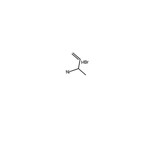 Br.C=C[CH](C)[Ni]